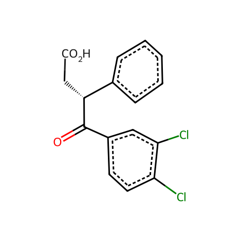 O=C(O)C[C@@H](C(=O)c1ccc(Cl)c(Cl)c1)c1ccccc1